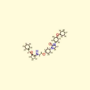 O=c1n(-c2ccc(OCCN[C@@H]3CCC[C@H]3OCc3ccccc3)cc2)ccn1-c1ccc(Oc2ccccc2)cc1